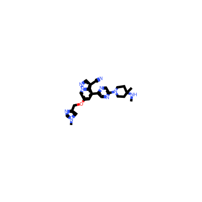 CNC1(C)CCN(c2cnc(-c3cc(OCc4cn(C)cn4)cn4ncc(C#N)c34)cn2)CC1